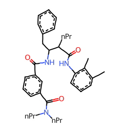 [CH2]CCC(C(=O)Nc1cccc(C)c1C)C(Cc1ccccc1)NC(=O)c1cccc(C(=O)N(CCC)CCC)c1